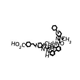 Cn1c(C(=O)Nc2cccc(-c3cccc(NC(=O)c4nc5c(n4C)CCN(C4CCCCC4)C5)c3Cl)c2Cl)nc2c1CCN(CCC1CCC(C(=O)O)CC1)C2